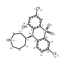 O=S1(=O)c2cc(C(F)(F)F)ccc2N([C@H]2CCCNC[C@@H]2O)c2cnc(C(F)(F)F)cc21